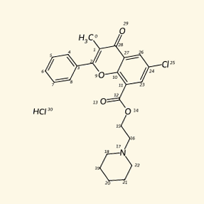 Cc1c(-c2ccccc2)oc2c(C(=O)OCCN3CCCCC3)cc(Cl)cc2c1=O.Cl